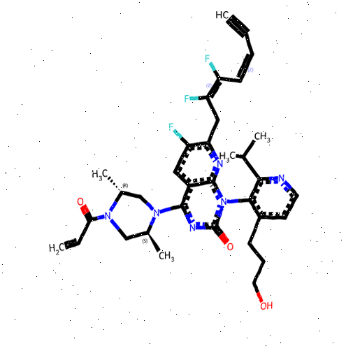 C#C/C=C\C(F)=C(\F)Cc1nc2c(cc1F)c(N1C[C@@H](C)N(C(=O)C=C)C[C@@H]1C)nc(=O)n2-c1c(CCCO)ccnc1C(C)C